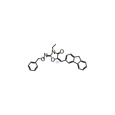 CCN1C(=O)/C(=C\c2ccc3c(c2)-c2ccccc2C3)OC1=NOCc1ccccc1